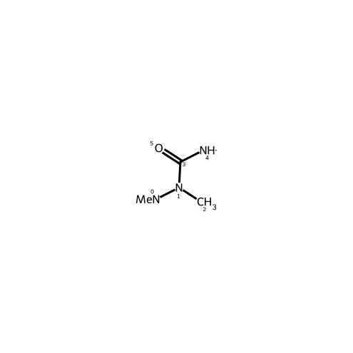 CNN(C)C([NH])=O